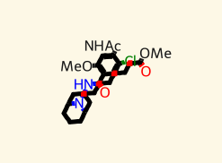 COC(=O)CCCCCCCN1C2CCCC1CC(NC(=O)c1cc(Cl)c(NC(C)=O)cc1OC)C2